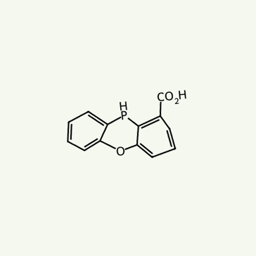 O=C(O)c1cccc2c1Pc1ccccc1O2